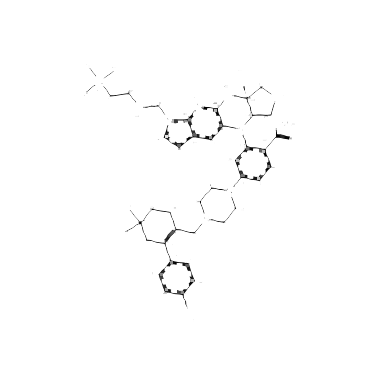 COC(=O)c1ccc(N2CCN(CC3=C(c4ccc(Cl)cc4)CC(C)(C)CC3)CC2)cc1N1c2cc3ccn(COCC[Si](C)(C)C)c3nc2O[C@@H]2COC[C@H]21